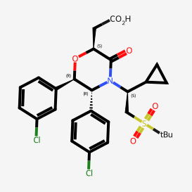 CC(C)(C)S(=O)(=O)C[C@H](C1CC1)N1C(=O)[C@H](CC(=O)O)O[C@H](c2cccc(Cl)c2)[C@H]1c1ccc(Cl)cc1